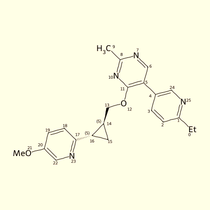 CCc1ccc(-c2cnc(C)nc2OC[C@H]2C[C@@H]2c2ccc(OC)cn2)cn1